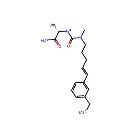 COCc1cccc(/C=C/CCCN(C)C(=O)N[C@H](C(N)=O)C(C)(C)C)c1